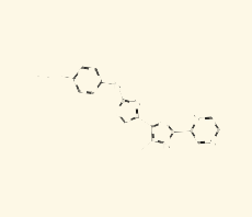 CCCCCCCCc1ccc(Nc2nc(-c3sc(-c4cnccn4)nc3C)cs2)cc1